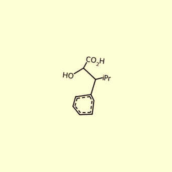 CC(C)C(c1ccccc1)C(O)C(=O)O